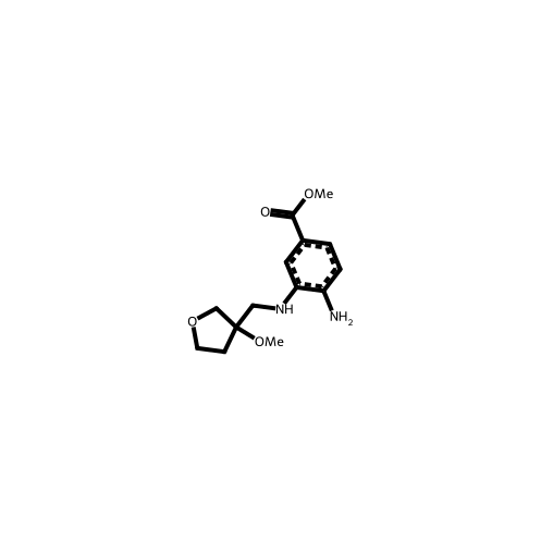 COC(=O)c1ccc(N)c(NCC2(OC)CCOC2)c1